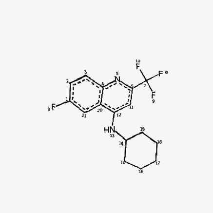 Fc1ccc2nc(C(F)(F)F)cc(NC3CCCCC3)c2c1